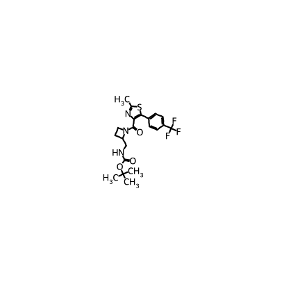 Cc1nc(C(=O)N2CCC2CNC(=O)OC(C)(C)C)c(-c2ccc(C(F)(F)F)cc2)s1